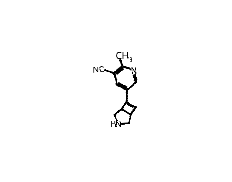 Cc1ncc(C2=CC3CNCC23)cc1C#N